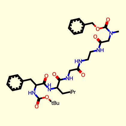 CC(C)CC(NC(=O)C(Cc1ccccc1)NC(=O)OC(C)(C)C)C(=O)NCC(=O)NCCNC(=O)CN(C)C(=O)OCc1ccccc1